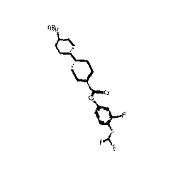 CCCC[C@H]1CC[C@H]([C@H]2CC[C@H](C(=O)Oc3ccc(SC(F)F)c(F)c3)CC2)CC1